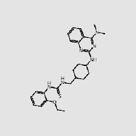 CCOc1ccccc1NC(=S)NCC1CCC(Nc2nc(N(C)C)c3ccccc3n2)CC1